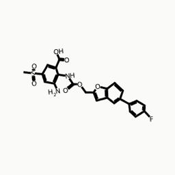 CS(=O)(=O)c1cc(N)c(NC(=O)OCc2cc3cc(-c4ccc(F)cc4)ccc3o2)c(C(=O)O)c1